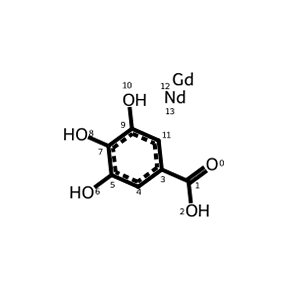 O=C(O)c1cc(O)c(O)c(O)c1.[Gd].[Nd]